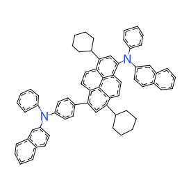 c1ccc(N(c2ccc(-c3cc(C4CCCCC4)c4ccc5c(N(c6ccccc6)c6ccc7ccccc7c6)cc(C6CCCCC6)c6ccc3c4c65)cc2)c2ccc3ccccc3c2)cc1